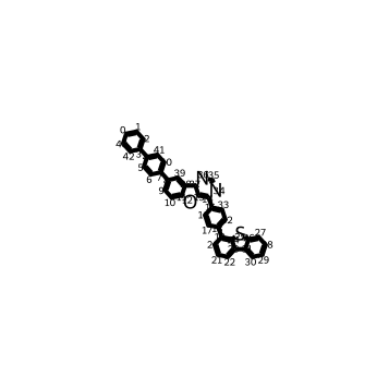 c1ccc(-c2ccc(-c3ccc4oc5c(-c6ccc(-c7cccc8c7sc7ccccc78)cc6)ncnc5c4c3)cc2)cc1